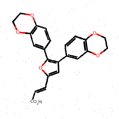 O=C(O)/C=C/c1cc(-c2ccc3c(c2)OCCO3)c(-c2ccc3c(c2)OCCO3)o1